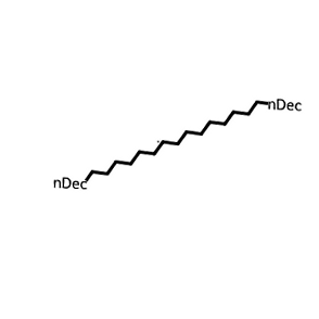 CCCCCCCCCCCCCCCC[CH]CCCCCCCCCCCCCCCCCC